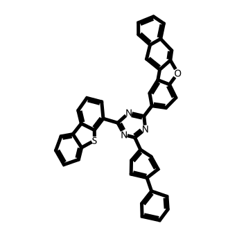 c1ccc(-c2ccc(-c3nc(-c4ccc5oc6cc7ccccc7cc6c5c4)nc(-c4cccc5c4sc4ccccc45)n3)cc2)cc1